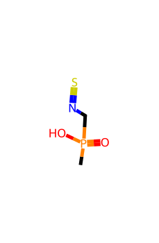 CP(=O)(O)CN=S